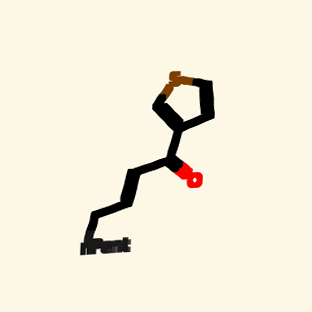 CCCCCCC=CC(=O)c1ccsc1